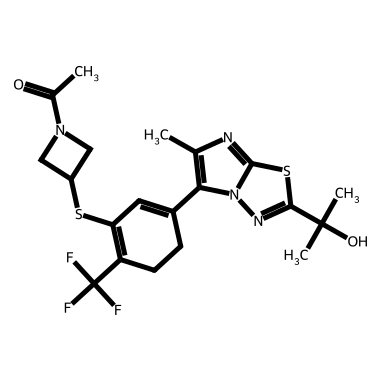 CC(=O)N1CC(SC2=C(C(F)(F)F)CCC(c3c(C)nc4sc(C(C)(C)O)nn34)=C2)C1